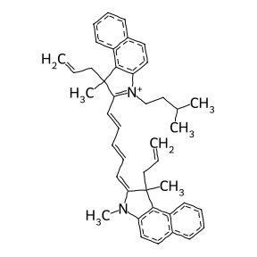 C=CCC1(C)C(/C=C/C=C/C=C2/N(C)c3ccc4ccccc4c3C2(C)CC=C)=[N+](CCC(C)C)c2ccc3ccccc3c21